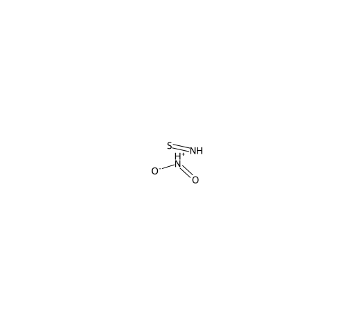 N=S.O=[NH+][O-]